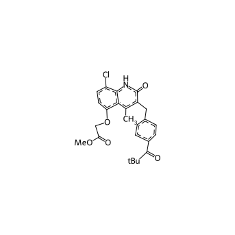 COC(=O)COc1ccc(Cl)c2[nH]c(=O)c(Cc3ccc(C(=O)C(C)(C)C)cc3)c(C)c12